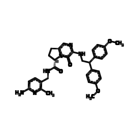 COc1ccc(C(CNc2ncc3n(c2=O)[C@H](C(=O)NCc2ccc(N)nc2C)CC3)c2ccc(OC)cc2)cc1